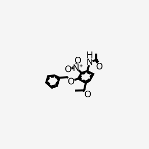 CC(=O)Nc1ccc(C(C)=O)c(OCc2ccccc2)c1[N+](=O)[O-]